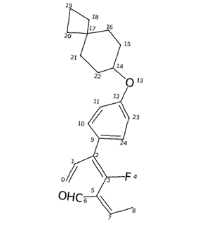 C=C/C(=C(F)\C(C=O)=C/C)c1ccc(OC2CCC3(CCC3)CC2)cc1